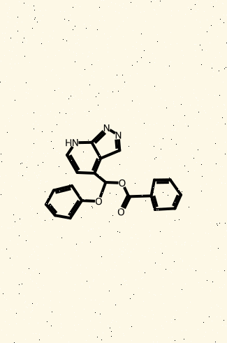 O=C(OC(Oc1ccccc1)c1cc[nH]c2nncc1-2)c1ccccc1